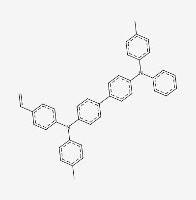 C=Cc1ccc(N(c2ccc(C)cc2)c2ccc(-c3ccc(N(c4ccccc4)c4ccc(C)cc4)cc3)cc2)cc1